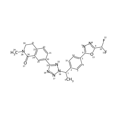 CC(c1ccc(-c2nnc(C(F)F)o2)cc1)n1nnc(-c2ccc3c(c2)C(=O)N(C)CC3)n1